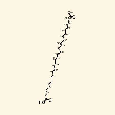 O=C(O)CCCCCCCC/C=C/C/C=C/C/C=C/C/C=C/CCCCCCCCC(=O)O